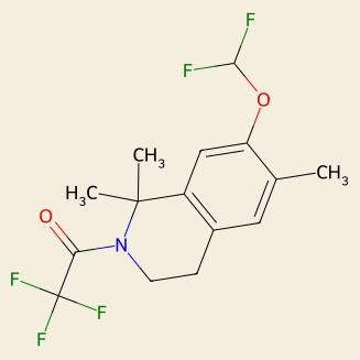 Cc1cc2c(cc1OC(F)F)C(C)(C)N(C(=O)C(F)(F)F)CC2